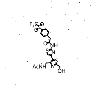 CC(=O)NCc1nc(CO)sc1-c1csc(NC(=O)Cc2ccc(S(=O)(=O)C(F)(F)F)cc2)n1